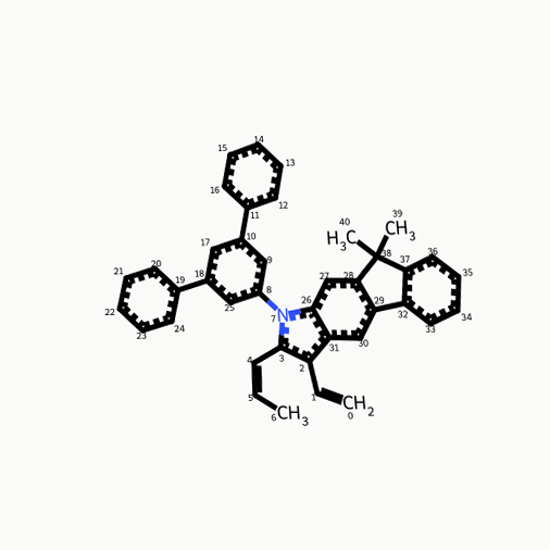 C=Cc1c(/C=C\C)n(-c2cc(-c3ccccc3)cc(-c3ccccc3)c2)c2cc3c(cc12)-c1ccccc1C3(C)C